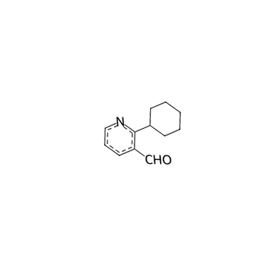 O=Cc1cccnc1C1CCCCC1